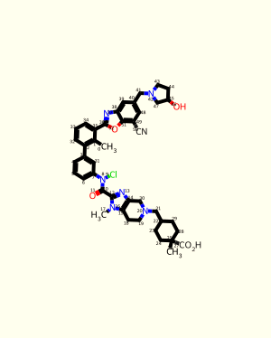 Cc1c(-c2cccc(N(Cl)C(=O)c3nc4c(n3C)CCN(CC3CCC(C)(C(=O)O)CC3)C4)c2)cccc1-c1nc2cc(CN3CCC(O)C3)cc(C#N)c2o1